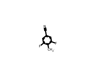 [CH2]c1c(F)cc(C#N)cc1F